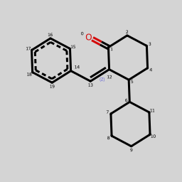 O=C1CCCC(C2CCCCC2)/C1=C/c1ccccc1